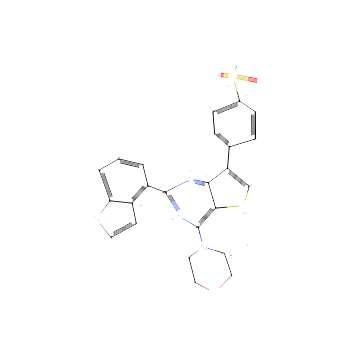 C[C@@H]1COCCN1c1nc(-c2cccc3[nH]ccc23)nc2c(-c3ccc(S(C)(=O)=O)cc3)csc12